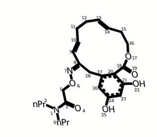 CCCN(CCC)C(=O)CO/N=C1/C=C/CC/C=C/CCOC(=O)c2c(O)cc(O)cc2C1